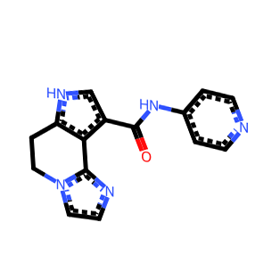 O=C(Nc1ccncc1)c1c[nH]c2c1-c1nccn1CC2